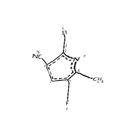 CCc1nc(C)c(F)cc1C#N